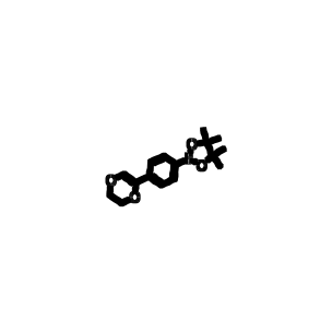 CC1(C)OB(c2ccc(C3=COCCO3)cc2)OC1(C)C